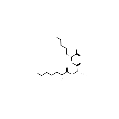 C[C@H](NC(=O)[C@@H](N)CCCCN)C(=O)N[C@@H](CCCCN)C(=O)O